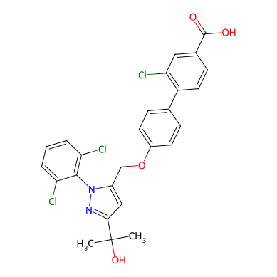 CC(C)(O)c1cc(COc2ccc(-c3ccc(C(=O)O)cc3Cl)cc2)n(-c2c(Cl)cccc2Cl)n1